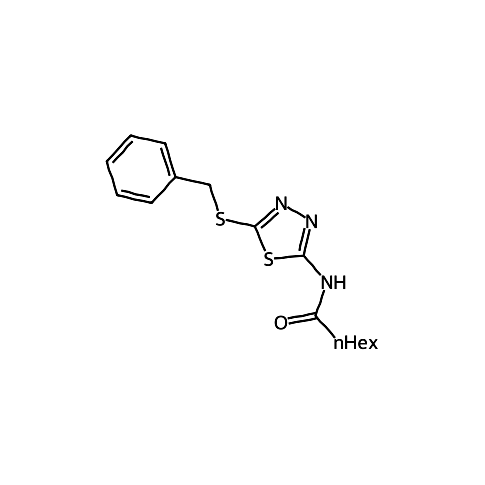 CCCCCCC(=O)Nc1nnc(SCc2ccccc2)s1